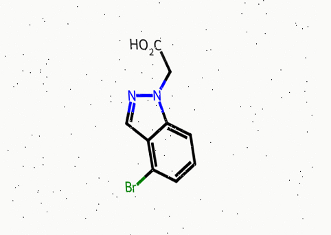 O=C(O)Cn1ncc2c(Br)cccc21